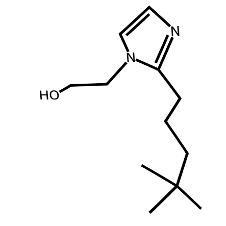 CC(C)(C)CCCc1nccn1CCO